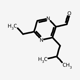 CCc1cnc(C=O)c(CC(C)C)n1